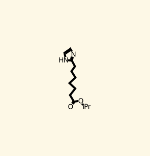 CC(C)OC(=O)CCCCCCc1n[c]c[nH]1